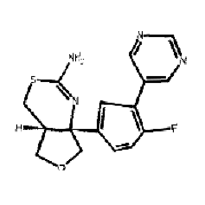 NC1=N[C@]2(c3ccc(F)c(-c4cncnc4)c3)COC[C@@H]2CS1